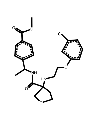 COC(=O)c1ccc(C(C)NC(=O)C2(NCCOc3cccc(Cl)c3)CCOC2)cc1